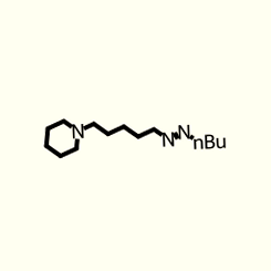 [CH2]CCCN=NCCCCCN1CCCCC1